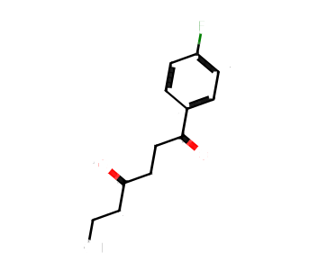 CCCC(=O)CCC(=O)c1ccc(F)cc1